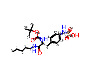 CCCCCNC(=O)[C@@H](Cc1ccc(NS(=O)(=O)O)cc1)NC(=O)OC(C)(C)C